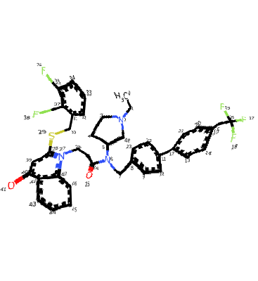 CCN1CCC(N(Cc2ccc(-c3ccc(C(F)(F)F)cc3)cc2)C(=O)Cn2c(SCc3cccc(F)c3F)cc(=O)c3ccccc32)C1